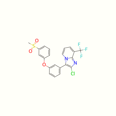 CS(=O)(=O)c1cccc(Oc2cccc(-c3c(Cl)nc4c(C(F)(F)F)cccn34)c2)c1